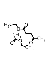 CCOC(=O)CCC(C)=O.CCOC(C)=O